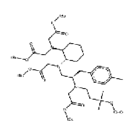 Cc1ccc(C[C@H](CN(CC(=O)OC(C)(C)C)[C@H]2CCCC[C@@H]2N(CC(=O)OC(C)(C)C)CC(=O)OC(C)(C)C)N(CCC(C)(C)OC=O)CC(=O)OC(C)(C)C)cc1